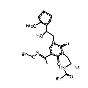 CC[C@@H](Cn1c(=O)c(/C(C)=N/OC(C)C)cn(CC(O)c2ccccc2OC)c1=O)NC(=O)C(C)C